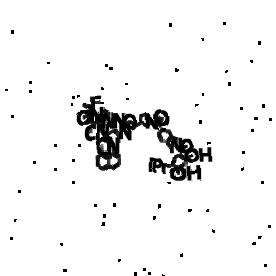 C=C(F)C(=O)N1CCN(c2nc(OCC3CCN(C(=O)c4ccc5c(c4)CN(C(=O)c4cc(C(C)C)c(O)cc4O)C5)C3)nc3c2CCN(c2cccc4cccc(Cl)c24)C3)CC1CC#N